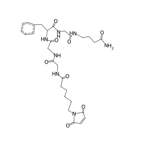 NC(=O)CCCNC(=O)CNC(=O)C(Cc1ccccc1)NC(=O)CNC(=O)CNC(=O)CCCCCN1C(=O)C=CC1=O